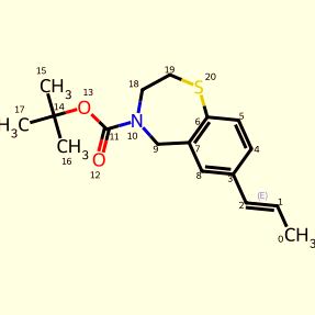 C/C=C/c1ccc2c(c1)CN(C(=O)OC(C)(C)C)CCS2